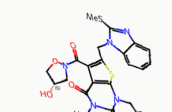 CSc1nc2ccccc2n1Cc1sc2c(c1C(=O)N1C[C@H](O)CO1)c(=O)n(C)c(=O)n2CC(C)C